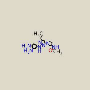 CCCc1cc(N2CCC(NC(C)=O)C2)nc(Nc2ccc(N)c(N)c2)n1